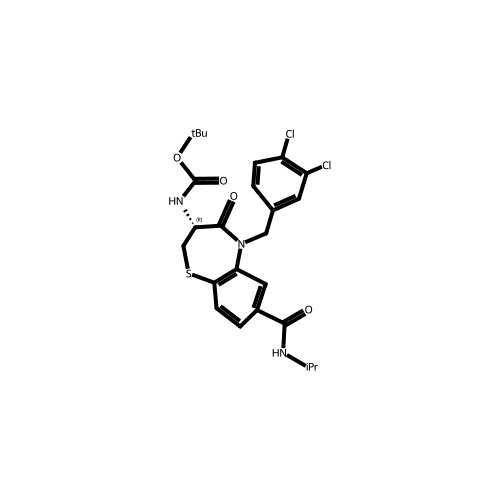 CC(C)NC(=O)c1ccc2c(c1)N(Cc1ccc(Cl)c(Cl)c1)C(=O)[C@@H](NC(=O)OC(C)(C)C)CS2